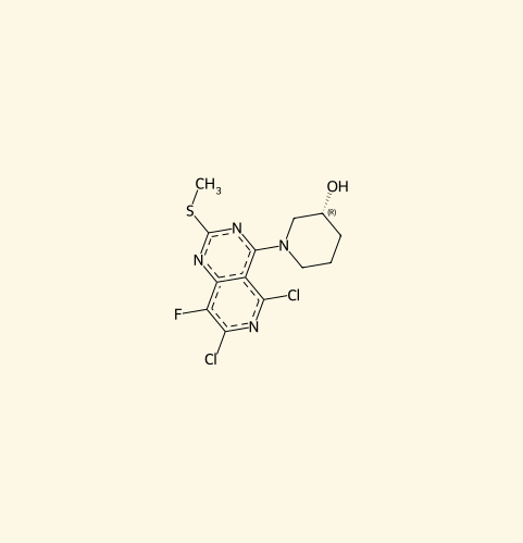 CSc1nc(N2CCC[C@@H](O)C2)c2c(Cl)nc(Cl)c(F)c2n1